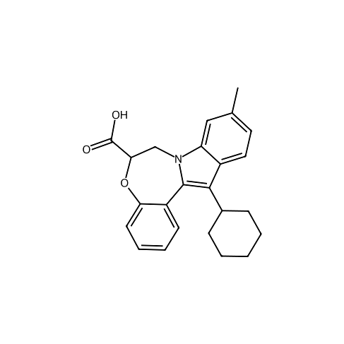 Cc1ccc2c(C3CCCCC3)c3n(c2c1)CC(C(=O)O)Oc1ccccc1-3